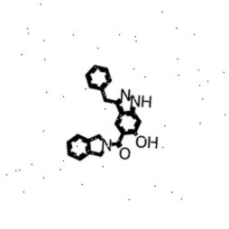 O=C(c1cc2c(Cc3ccccc3)n[nH]c2cc1O)N1Cc2ccccc2C1